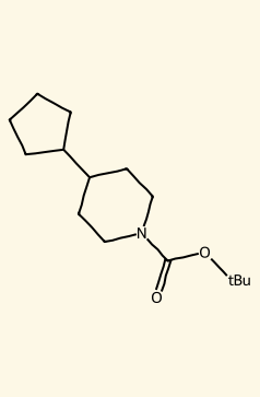 CC(C)(C)OC(=O)N1CCC(C2CCCC2)CC1